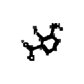 Nc1cccc(C(=O)Cl)c1F